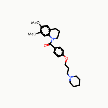 COc1cc2c(cc1OC)N(C(=O)c1ccc(OCCCN3CCCCC3)cc1)CCC2